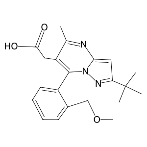 COCc1ccccc1-c1c(CC(=O)O)c(C)nc2cc(C(C)(C)C)nn12